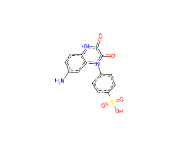 Nc1ccc2[nH]c(=O)c(=O)n(-c3ccc(S(=O)(=O)O)cc3)c2c1